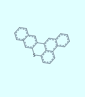 c1ccc2cc3c(cc2c1)Sc1cccc2c1c-3cc1ccccc12